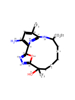 CCOC(=O)C1CCCCCC(O)(C(F)(F)F)c2nnc(o2)-c2nc(c(C(F)(F)F)cc2N)N1